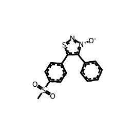 CS(=O)(=O)c1ccc(-c2sn[n+]([O-])c2-c2ccccc2)cc1